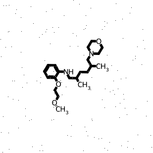 COCCOc1ccccc1NCC(C)CCC(C)CN1CCOCC1